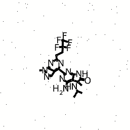 CC(C)NC1(C)C(=O)Nc2nc(-c3nc(CCC(F)(F)C(F)(F)F)nc4c3cnn4C)nc(N)c21